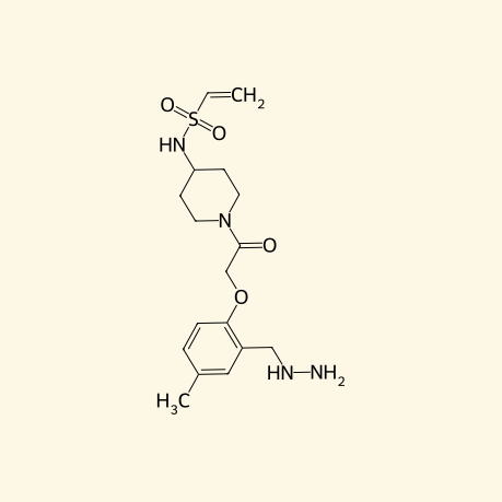 C=CS(=O)(=O)NC1CCN(C(=O)COc2ccc(C)cc2CNN)CC1